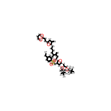 C=C(CC[C@@H]1O[C@H](CC(CO[Si](C)(C)C(C)(C)C)O[Si](C)(C)C(C)(C)C)C[C@H]1CS(=O)(=O)c1ccc(CC)cc1)C(C)CCCC[C@@H]1O[C@@H](CCC2OCCCO2)CC1C